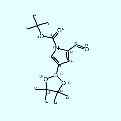 CC(C)(C)OC(=O)n1cc(B2OC(C)(C)C(C)(C)O2)cc1C=O